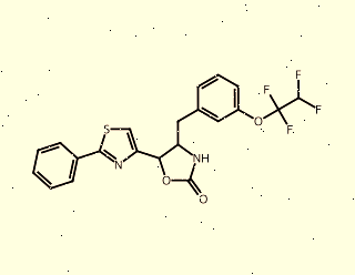 O=C1NC(Cc2cccc(OC(F)(F)C(F)F)c2)C(c2csc(-c3ccccc3)n2)O1